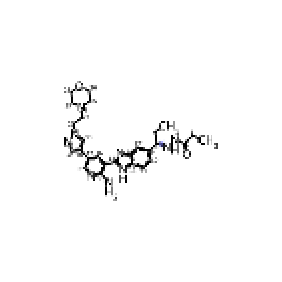 CCC(=O)N/N=C(\CC)c1ccc2[nH]c(-c3cc(-c4cnn(CCN5CCOCC5)c4)cnc3N)nc2c1